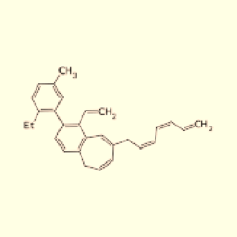 C=C/C=C\C=C/CC1=Cc2c(ccc(-c3cc(C)ccc3CC)c2C=C)CC=C1